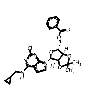 CC1(C)O[C@@H]2[C@H](O1)[C@@H](COC(=O)c1ccccc1)O[C@H]2n1ccc2c(NCC3CC3)nc(Cl)nc21